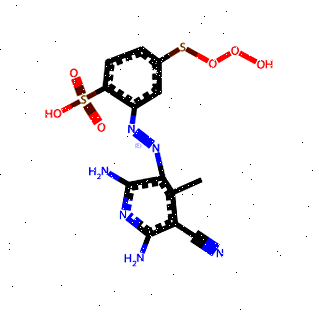 Cc1c(C#N)c(N)nc(N)c1/N=N/c1cc(SOOO)ccc1S(=O)(=O)O